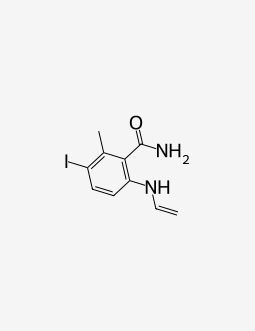 C=CNc1ccc(I)c(C)c1C(N)=O